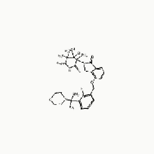 BC(B)(c1cccc(COc2cccc3c2CN(C2(B)C(=O)NC(=O)C(B)(B)C2(O)O)C3=O)c1F)N1CCOCC1